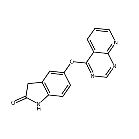 O=C1Cc2cc(Oc3ncnc4ncccc34)ccc2N1